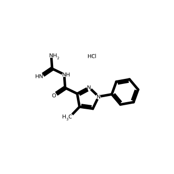 Cc1cn(-c2ccccc2)nc1C(=O)NC(=N)N.Cl